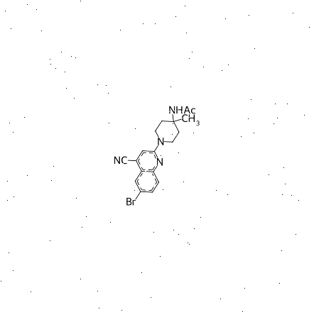 CC(=O)NC1(C)CCN(c2cc(C#N)c3cc(Br)ccc3n2)CC1